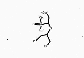 CCCCCCCCCCCC(OC(CC(C)C)CC(C)C)P(=O)(O)O